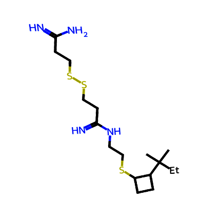 CCC(C)(C)C1CCC1SCCNC(=N)CCSSCCC(=N)N